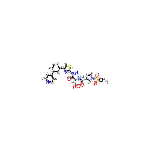 CS(=O)(=O)n1ccc(C(=O)N[C@@H](CO)C(=O)Nc2nc(-c3cccc(-c4ccncc4)c3)cs2)c1